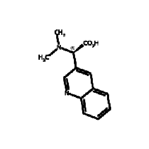 CN(C)[C@@H](C(=O)O)c1cnc2ccccc2c1